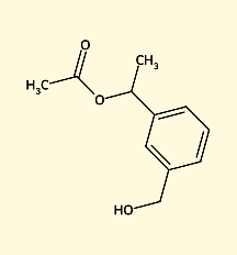 CC(=O)OC(C)c1cccc(CO)c1